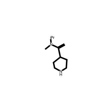 C=C(C1CCNCC1)N(C)C(C)C